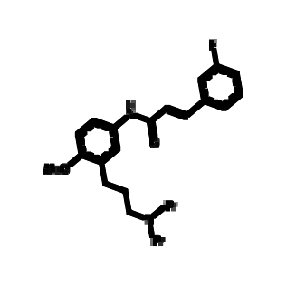 COc1ccc(NC(=O)/C=C/c2cccc(F)c2)cc1CCCN(C(C)C)C(C)C